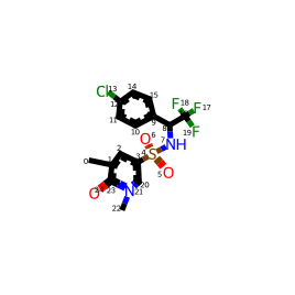 Cc1cc(S(=O)(=O)NC(c2ccc(Cl)cc2)C(F)(F)F)cn(C)c1=O